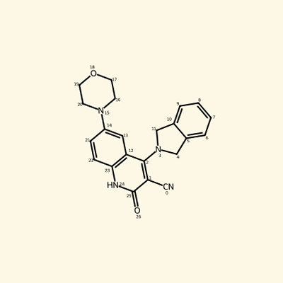 N#Cc1c(N2Cc3ccccc3C2)c2cc(N3CCOCC3)ccc2[nH]c1=O